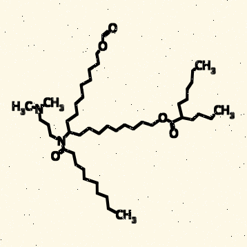 CCCCCCCCCC(=O)N(CCCN(C)C)C(CCCCCCCCCOC=O)CCCCCCCCCOC(=O)C(CCCC)CCCCCC